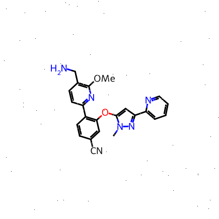 COc1nc(-c2ccc(C#N)cc2Oc2cc(-c3ccccn3)nn2C)ccc1CN